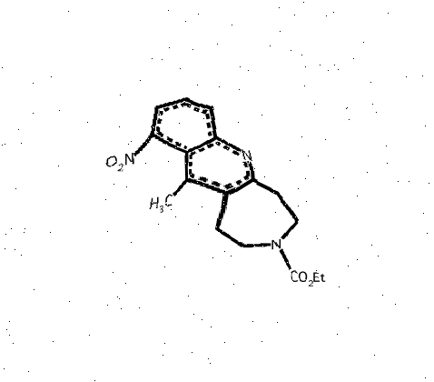 CCOC(=O)N1CCc2nc3cccc([N+](=O)[O-])c3c(C)c2CC1